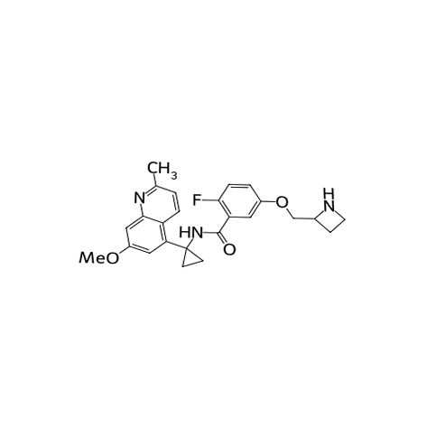 COc1cc(C2(NC(=O)c3cc(OCC4CCN4)ccc3F)CC2)c2ccc(C)nc2c1